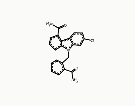 NC(=O)c1ccccc1Cn1c2cc(Cl)c[c]c2c2c(C(N)=O)cccc21